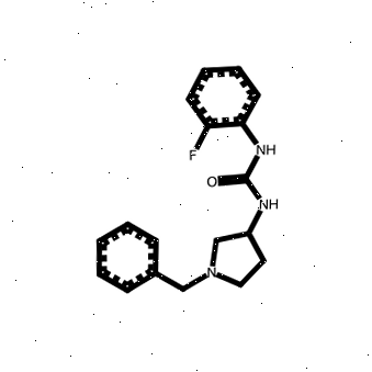 O=C(Nc1ccccc1F)NC1CCN(Cc2ccccc2)C1